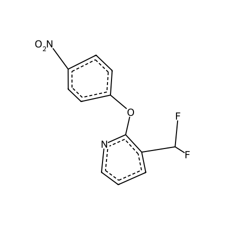 O=[N+]([O-])c1ccc(Oc2ncccc2C(F)F)cc1